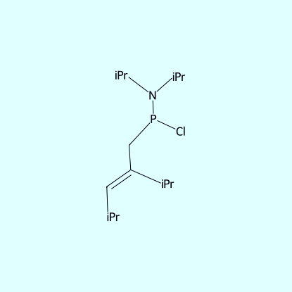 CC(C)/C=C(/CP(Cl)N(C(C)C)C(C)C)C(C)C